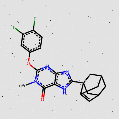 CCCn1c(Oc2ccc(F)c(F)c2)nc2nc(C34CC5C=C3CC(C5)C4)[nH]c2c1=O